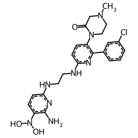 CN1CCN(c2ccc(NCCNc3ccc(N(O)O)c(N)n3)nc2-c2cccc(Cl)c2)C(=O)C1